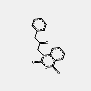 O=C(Cc1ccccc1)Cn1c(=O)oc(=O)c2ccccc21